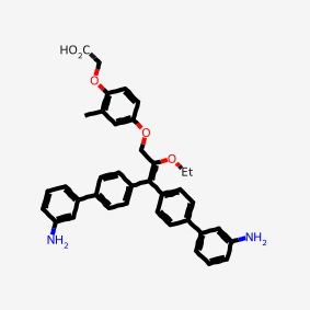 CCOC(COc1ccc(OCC(=O)O)c(C)c1)=C(c1ccc(-c2cccc(N)c2)cc1)c1ccc(-c2cccc(N)c2)cc1